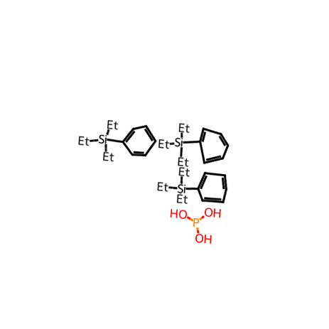 CC[Si](CC)(CC)c1ccccc1.CC[Si](CC)(CC)c1ccccc1.CC[Si](CC)(CC)c1ccccc1.OP(O)O